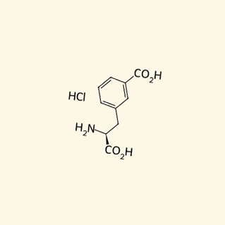 Cl.N[C@@H](Cc1cccc(C(=O)O)c1)C(=O)O